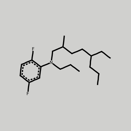 CCCC(CC)CCC(C)CN(CCC)c1cc(F)ccc1F